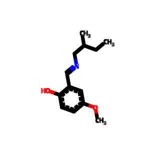 CCC(C)C/N=C/c1cc(OC)ccc1O